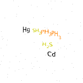 P.P.S.S.[Cd].[Hg]